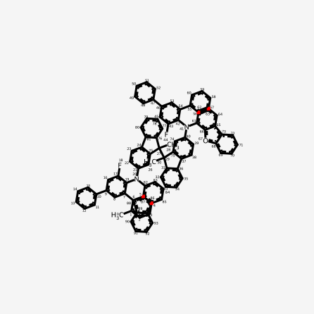 Cc1ccccc1-c1cc(-c2ccccc2)cc(F)c1N(c1ccc2c(c1)C(C)(C1(C)c3ccccc3-c3ccc(N(c4c(F)cc(-c5ccccc5)cc4-c4c#cccc4)c4cccc5c4oc4ccccc45)cc31)c1ccccc1-2)c1cccc2c1oc1ccccc12